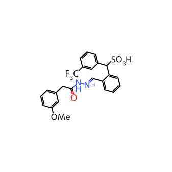 COc1cccc(CC(=O)N/N=C/c2ccccc2C(c2cccc(C(F)(F)F)c2)S(=O)(=O)O)c1